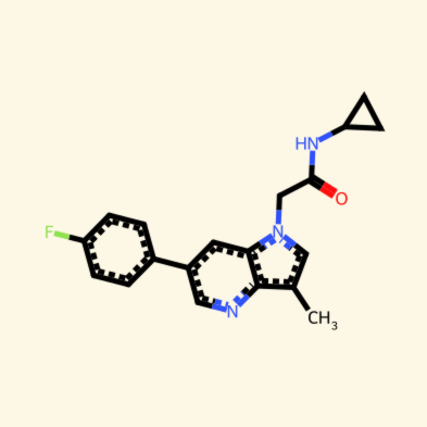 Cc1cn(CC(=O)NC2CC2)c2cc(-c3ccc(F)cc3)cnc12